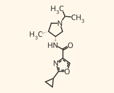 CC(C)N1C[C@@H](C)[C@@H](NC(=O)c2coc(C3CC3)n2)C1